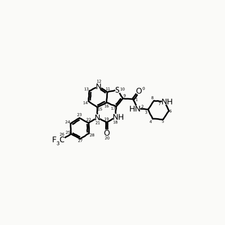 O=C(NC1CCCNC1)c1sc2nccc3c2c1NC(=O)N3c1ccc(C(F)(F)F)cc1